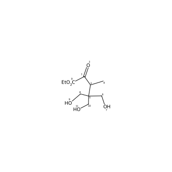 CCOC(=O)C(=O)C(C)C(CO)(CO)CO